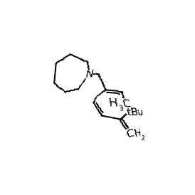 C=C(/C=C\C(=C/C)CN1CCCCCC1)C(C)(C)C